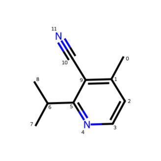 Cc1ccnc(C(C)C)c1C#N